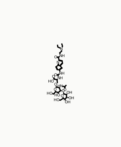 CCN(CC)CCNC(=O)c1ccc2cc(NC(=O)NC(CO[C@H]3OC(CO)[C@H](O)[C@H](O[C@@H]4OC(CO)[C@H](O)[C@H](O)C4O)C3NC(C)=O)C(=O)O)ccc2n1